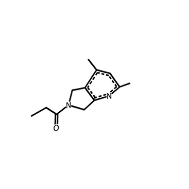 CCC(=O)N1Cc2nc(C)cc(C)c2C1